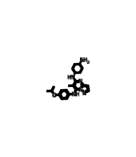 Cc1c(N[C@H]2CC[C@H](N)CC2)nc2ccnn2c1Nc1ccc(OC(C)C)cc1